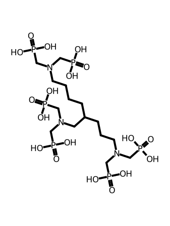 O=P(O)(O)CN(CCCCC(CCCN(CP(=O)(O)O)CP(=O)(O)O)CN(CP(=O)(O)O)CP(=O)(O)O)CP(=O)(O)O